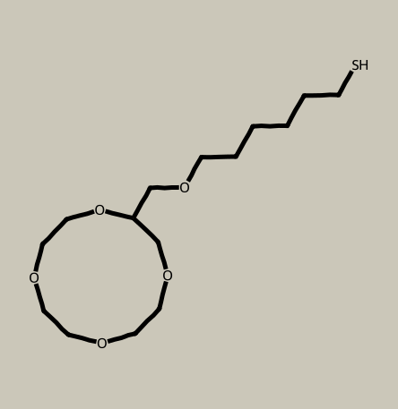 SCCCCCCOCC1COCCOCCOCCO1